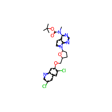 CN(C(=O)OC(C)(C)C)c1ncnc2c1ccn2C1CCC(COc2cc3ncc(Cl)cc3cc2Cl)O1